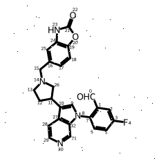 O=Cc1cc(F)ccc1-n1cc(C2CCN(Cc3ccc4oc(=O)[nH]c4c3)C2)c2ccncc21